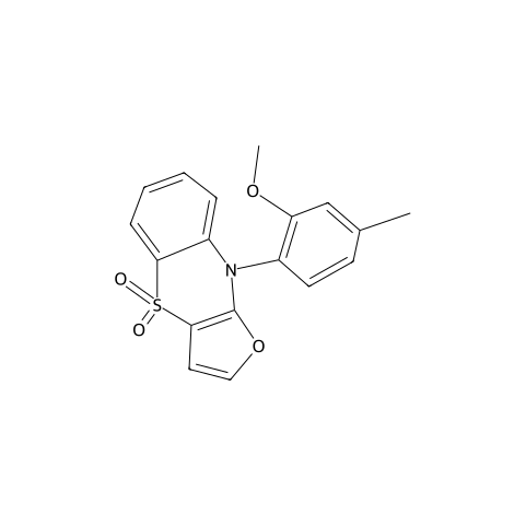 COc1cc(C)ccc1N1c2ccccc2S(=O)(=O)c2ccoc21